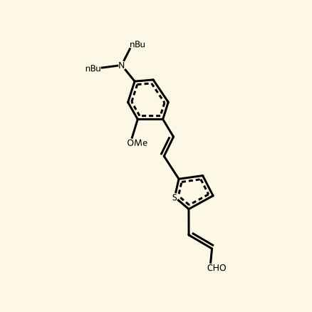 CCCCN(CCCC)c1ccc(/C=C/c2ccc(/C=C/C=O)s2)c(OC)c1